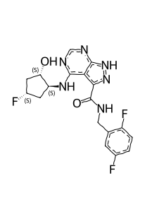 O=C(NCc1cc(F)ccc1F)c1n[nH]c2ncnc(N[C@H]3C[C@H](F)C[C@@H]3O)c12